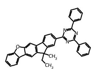 CCC1(C)c2cc(-c3nc(-c4ccccc4)nc(-c4ccccc4)n3)ccc2-c2cc3oc4ccccc4c3cc21